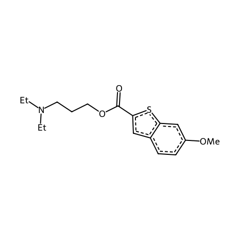 CCN(CC)CCCOC(=O)c1cc2ccc(OC)cc2s1